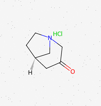 Cl.O=C1C[C@H]2CCN(C1)C2